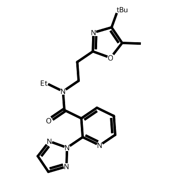 CCN(CCc1nc(C(C)(C)C)c(C)o1)C(=O)c1cccnc1-n1nccn1